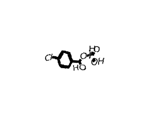 O=[PH](O)OC(O)c1ccc(Cl)cc1